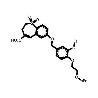 CCCOCCOc1ccc(COc2ccc3c(c2)C=C(C(=O)O)CCS3(=O)=O)cc1OCC